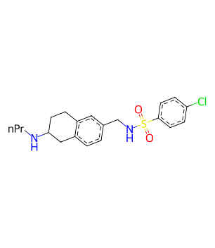 CCCNC1CCc2cc(CNS(=O)(=O)c3ccc(Cl)cc3)ccc2C1